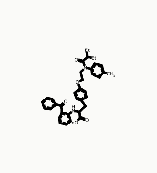 CCC(CC)C(=O)N(CCOc1ccc(CC(Nc2ccccc2C(=O)c2ccccc2)C(=O)OC)cc1)c1ccc(C)cc1